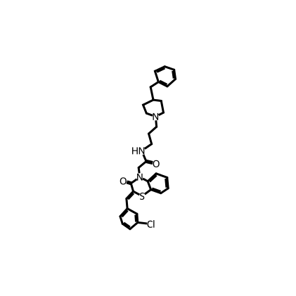 O=C(CN1C(=O)C(=Cc2cccc(Cl)c2)Sc2ccccc21)NCCCN1CCC(Cc2ccccc2)CC1